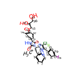 C[C@@H](c1ccccc1)[C@@H](c1nc(Cl)c(-c2ccc(I)cc2F)[nH]1)N1C(=O)NC(c2ccc(OCC(O)CO)cc2)C1=O